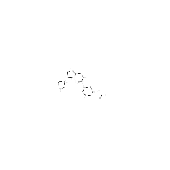 CC(=O)Nc1cccc(-c2ccc3ncc(-c4ccoc4)n3n2)c1